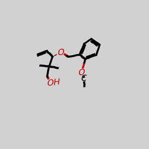 C=C[C@H](OCc1ccccc1OCC)C(C)(C)CO